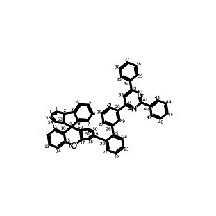 C1=CC2c3ccccc3C3(c4ccccc4Oc4cc(-c5ccccc5-c5cccc(-c6cc(-c7ccccc7)nc(-c7ccccc7)n6)c5)ccc43)C2C=C1